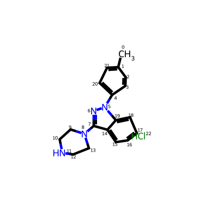 Cc1ccc(-n2nc(N3CCNCC3)c3ccccc32)cc1.Cl